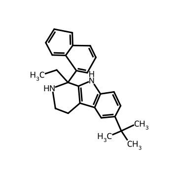 CCC1(c2cccc3ccccc23)NCCc2c1[nH]c1ccc(C(C)(C)C)cc21